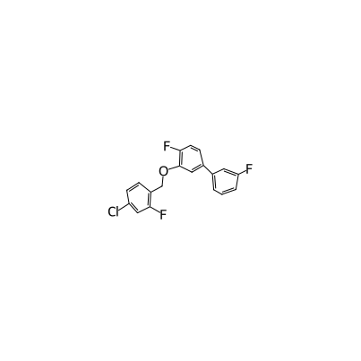 Fc1cccc(-c2ccc(F)c(OCc3ccc(Cl)cc3F)c2)c1